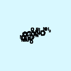 CCCCOC(=O)Cn1c(=O)n(Cc2ccc3nccnc3c2)c(=O)c2c1nc(N1CCCC(N)C1)n2CC